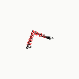 O=[Si]([O-])[O-].O=[Si]([O-])[O-].O=[Si]([O-])[O-].O=[Si]([O-])[O-].O=[Si]([O-])[O-].O=[Si]([O-])[O-].O=[Si]([O-])[O-].O=[Si]([O-])[O-].O=[Si]([O-])[O-].[Al+3].[Al+3].[Ca+2].[Ca+2].[K+].[K+].[Na+].[Na+].[Sr+2].[Sr+2]